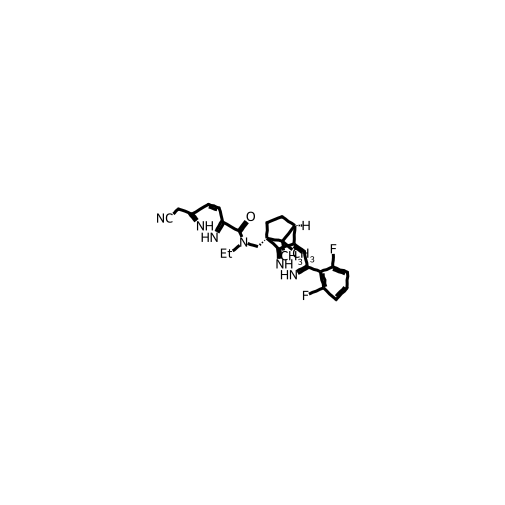 CCN(C[C@@]12CC[C@@H](/C(=C/C(=N)c3c(F)cccc3F)C1=N)C2(C)C)C(=O)C(=N)/C=C\C(=N)CC#N